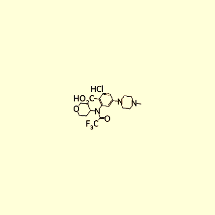 CN1CCN(c2ccc(C(=O)O)c(N(C(=O)C(F)(F)F)C3CCOCC3)c2)CC1.Cl